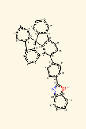 c1ccc2c(c1)-c1ccccc1C21c2ccccc2-c2ccc(-c3ccc(-c4nc5ccccc5o4)cc3)cc21